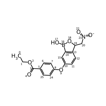 CCOC(=O)c1ccc(Oc2ccc3c(c2)B(O)OC3C[N+](=O)[O-])cc1